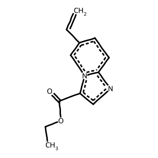 C=Cc1ccc2ncc(C(=O)OCC)n2c1